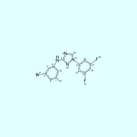 Cc1cc(Br)cc(Nc2ncn(-c3cc(F)cc(F)c3)n2)c1